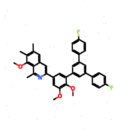 COc1cc(-c2cc3cc(C)c(C)c(OC)c3c(C)n2)cc(-c2cc(-c3ccc(F)cc3)cc(-c3ccc(F)cc3)c2)c1OC